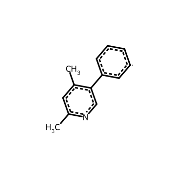 Cc1cc(C)c(-c2c[c]ccc2)cn1